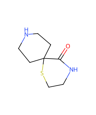 O=C1NCCSC12CCNCC2